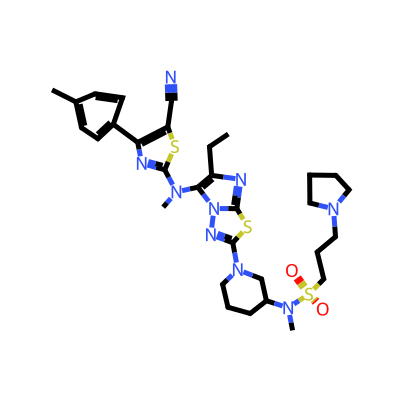 CCc1nc2sc(N3CCCC(N(C)S(=O)(=O)CCCN4CCCC4)C3)nn2c1N(C)c1nc(-c2ccc(C)cc2)c(C#N)s1